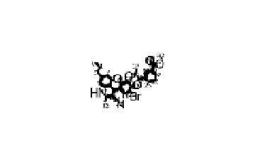 CCCC1CC(=O)C2=C(C1)NC(C)=C(C#N)C2c1cc(Br)c(OCc2cccc(C(=O)OC)c2)c(OCC)c1